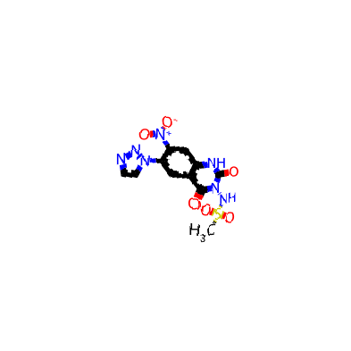 CS(=O)(=O)Nn1c(=O)[nH]c2cc([N+](=O)[O-])c(-n3ccnn3)cc2c1=O